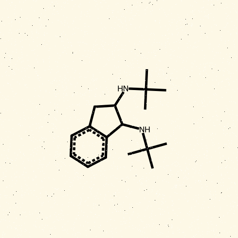 CC(C)(C)NC1Cc2ccccc2C1NC(C)(C)C